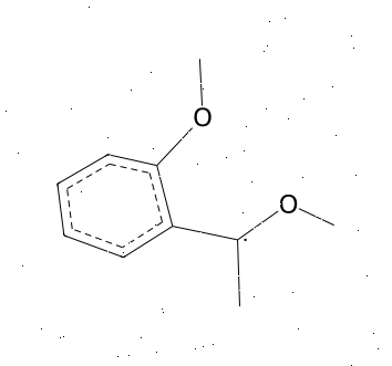 CO[C](C)c1ccccc1OC